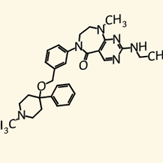 CCNc1ncc2c(n1)N(C)CCN(c1cccc(COC3(c4ccccc4)CCN(C)CC3)c1)C2=O